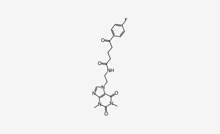 Cn1c(=O)c2c(ncn2CCNC(=O)CCCC(=O)c2ccc(F)cc2)n(C)c1=O